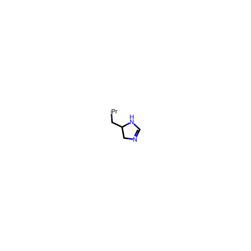 CC(C)CC1CN=CN1